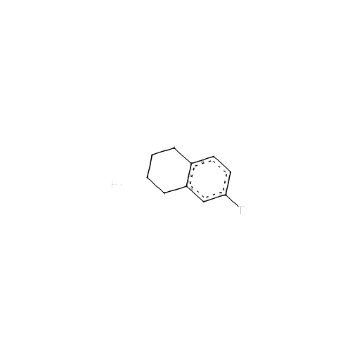 O[C@@H]1CCc2ccc(F)cc2C1